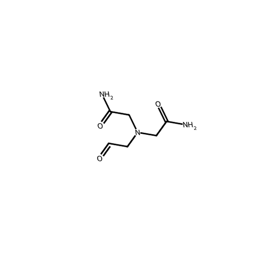 NC(=O)CN(CC=O)CC(N)=O